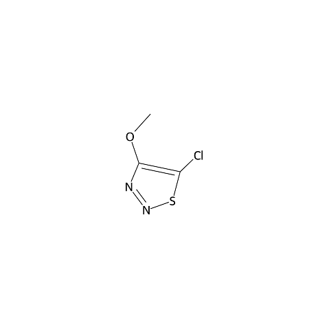 COc1nnsc1Cl